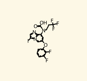 O=C(O)N(CCC(F)(F)F)c1cc(Oc2cccc(F)c2F)cn2c(I)cnc12